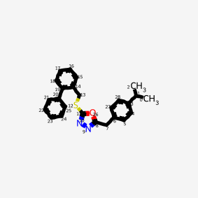 CC(C)c1ccc(Cc2nnc(SCc3ccccc3-c3ccccc3)o2)cc1